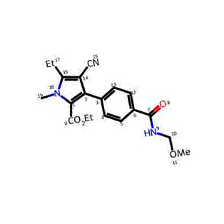 CCOC(=O)c1c(-c2ccc(C(=O)NCOC)cc2)c(C#N)c(CC)n1C